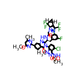 COc1cc(C)nc(-c2ccc3c(=O)n(-c4ccc(Cl)c5c(NS(C)(=O)=O)nn(C)c45)c([C@H](Cc4cc(F)cc(F)c4)NC(=O)Cn4nc(C(F)F)c5c4C(F)(F)[C@@H]4C[C@H]54)nc3c2)n1